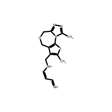 Cc1sc2c(c1CN/C=C\C=N)COCc1nnc(C)n1-2